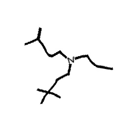 CCCN(CCC(C)C)CCC(C)(C)C